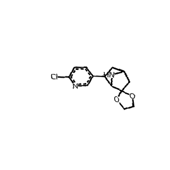 Clc1ccc(C2CC3CC4(OCCO4)C2N3)cn1